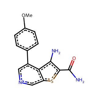 COc1ccc(-c2cncc3sc(C(N)=O)c(N)c23)cc1